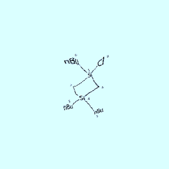 CCCC[Si]1(Cl)C[Si](CCCC)(CCCC)C1